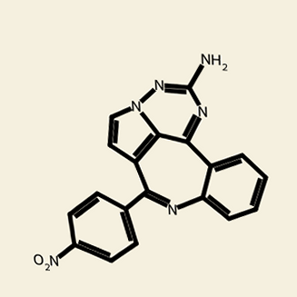 Nc1nc2c3c(ccn3n1)C(c1ccc([N+](=O)[O-])cc1)=Nc1ccccc1-2